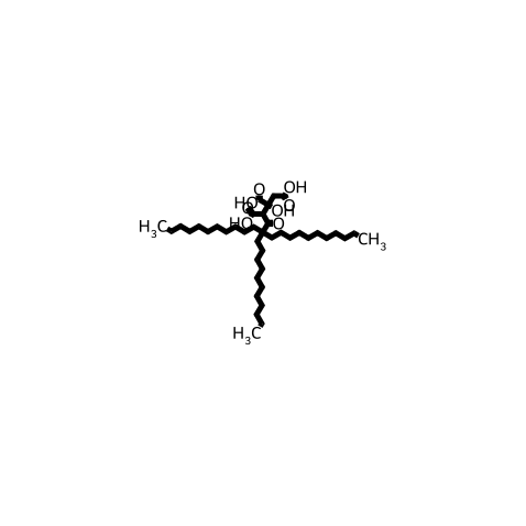 CCCCCCCCCCCC(CCCCCCCCCCC)(CCCCCCCCCCC)C(=O)C(C(=O)O)C(O)(CC(=O)O)C(=O)O